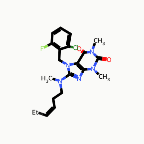 CC/C=C\CCN(C)c1nc2c(c(=O)n(C)c(=O)n2C)n1Cc1c(F)cccc1Cl